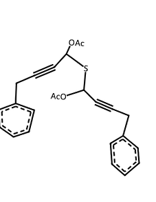 CC(=O)OC(C#CCc1ccccc1)SC(C#CCc1ccccc1)OC(C)=O